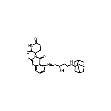 Cc1nc2cccc(NCCC(S)CCNC34CC5CC(CC(C5)C3)C4)c2c(=O)n1C1CCC(=O)NC1=O